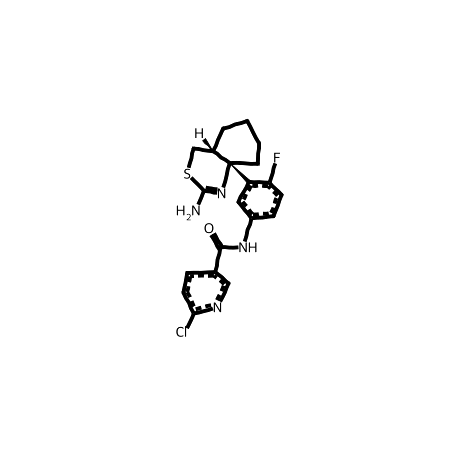 NC1=N[C@@]2(c3cc(NC(=O)c4ccc(Cl)nc4)ccc3F)CCCC[C@H]2CS1